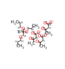 CC(=O)CC(=O)[O-].CC(=O)CC(=O)[O-].CC(=O)CC(=O)[O-].CCCOC[C]([Ti+3])(OCCC)OCCC